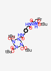 CC(C)C[C@@H](NC(=O)OC(C)(C)C)C(=O)NNC(=O)Cc1ccc(CNC(=O)CN2CCN(CC(=O)OC(C)(C)C)CCN(CC(=O)OC(C)(C)C)CCN(CC(=O)OC(C)(C)C)CC2)cc1